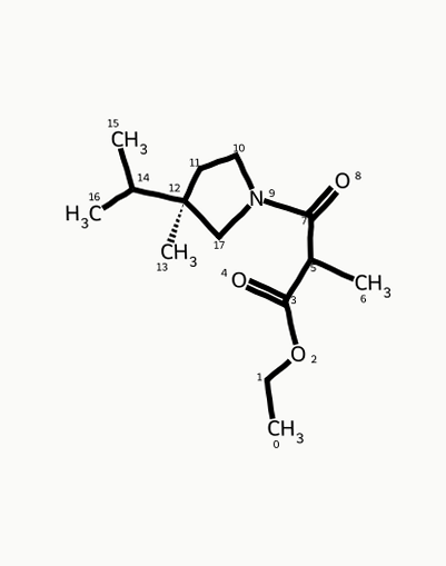 CCOC(=O)C(C)C(=O)N1CC[C@](C)(C(C)C)C1